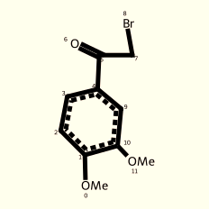 COc1ccc(C(=O)CBr)cc1OC